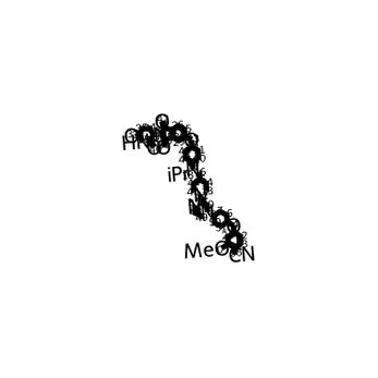 COc1cc(OC2CCC(N3C=C(N4CCC(CN(C(C)C)C5CCC(Oc6ccc7c(c6)C(=O)N(C6CCC(=O)NC6=O)C7=O)CC5)CC4)N=CC3)CC2)ccc1C#N